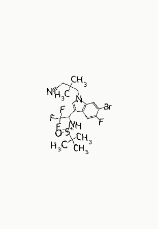 CC(C)(CC#N)Cn1cc([C@H](N[S@@+]([O-])C(C)(C)C)C(F)(F)F)c2cc(F)c(Br)cc21